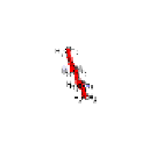 CC(C)OCCOCCOCCOCCOCC(=O)NC(C)(C)CCC(C)(C)OCCOCCOCCOC(C)(C)CCC(C)(C)NC(=O)COCCOCCOC(C)(C)C